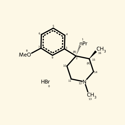 Br.CCC[C@@]1(c2cccc(OC)c2)CCN(C)C[C@@H]1C